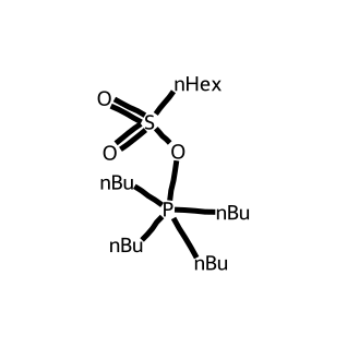 CCCCCCS(=O)(=O)OP(CCCC)(CCCC)(CCCC)CCCC